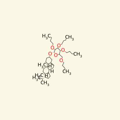 CCCCOCC1O[C@H](O[C@H]2CC[C@@]3(C)C(=CC[C@H]4[C@@H]5CC[C@H](C(C)C)[C@@]5(C)CC[C@@H]43)C2)C(OCCCC)C(OCCCC)[C@@H]1OCCCC